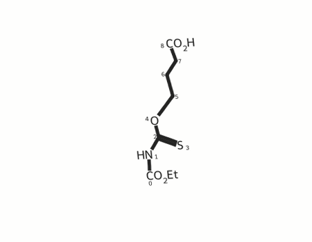 CCOC(=O)NC(=S)OCCCC(=O)O